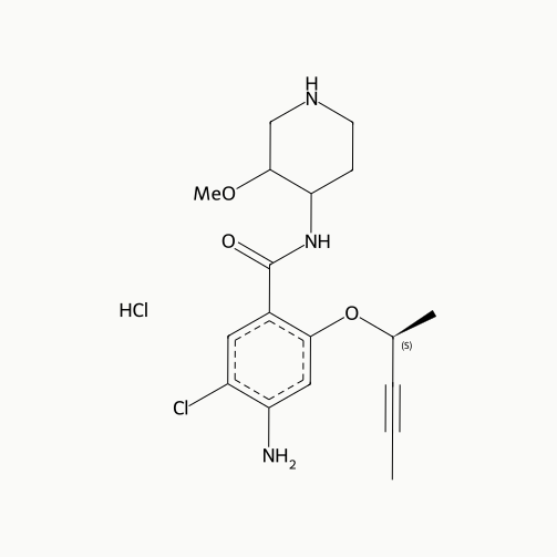 CC#C[C@H](C)Oc1cc(N)c(Cl)cc1C(=O)NC1CCNCC1OC.Cl